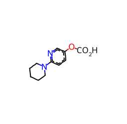 O=C(O)Oc1ccc(N2CCCCC2)nc1